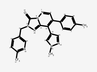 Cc1ccc(-c2cnn3c(=O)n(Cc4ccc(C(F)(F)F)nc4)nc3c2-c2cnn(C)c2)cc1